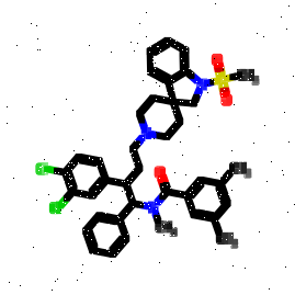 Cc1cc(C)cc(C(=O)N(C)C(c2ccccc2)C(CCN2CCC3(CC2)CN(S(C)(=O)=O)c2ccccc23)c2ccc(Cl)c(Cl)c2)c1